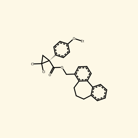 CCOc1ccc([C@@]2(C(=O)OCc3cccc4c3CCCc3ccccc3-4)CC2(Cl)Cl)cc1